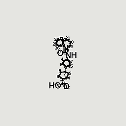 O=C(Nc1ccc([C@H]2CC[C@@H](C(=O)O)CC2)cc1)N1CCCc2ccccc21